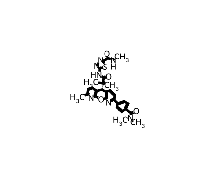 CNC(=O)c1nnc(NC(=O)C(C)(C)[C@H]2c3ccc(C)nc3Oc3nc(-c4ccc(C(=O)N(C)C)cc4)ccc32)s1